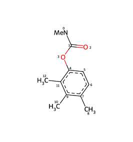 CNC(=O)Oc1ccc(C)c(C)c1C